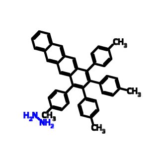 Cc1ccc(-c2c(-c3ccc(C)cc3)c(-c3ccc(C)cc3)c3cc4cc5ccccc5cc4cc3c2-c2ccc(C)cc2)cc1.NN